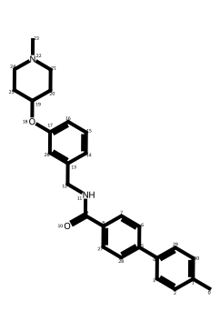 Cc1ccc(-c2ccc(C(=O)NCc3cccc(OC4CCN(C)CC4)c3)cc2)cc1